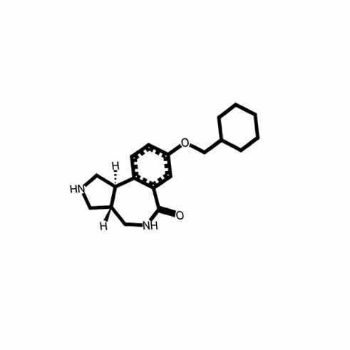 O=C1NC[C@@H]2CNC[C@H]2c2ccc(OCC3CCCCC3)cc21